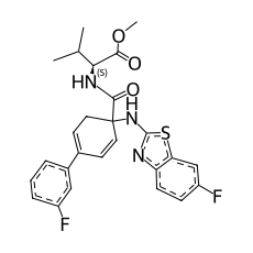 COC(=O)[C@@H](NC(=O)C1(Nc2nc3ccc(F)cc3s2)C=CC(c2cccc(F)c2)=CC1)C(C)C